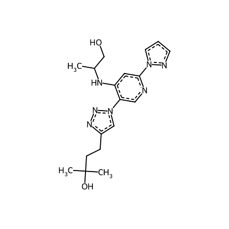 CC(CO)Nc1cc(-n2cccn2)ncc1-n1cc(CCC(C)(C)O)nn1